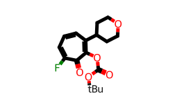 CC(C)(C)OC(=O)Oc1c(C2CCOCC2)cccc(F)c1=O